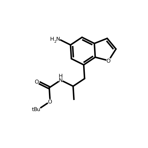 CC(Cc1cc(N)cc2ccoc12)NC(=O)OC(C)(C)C